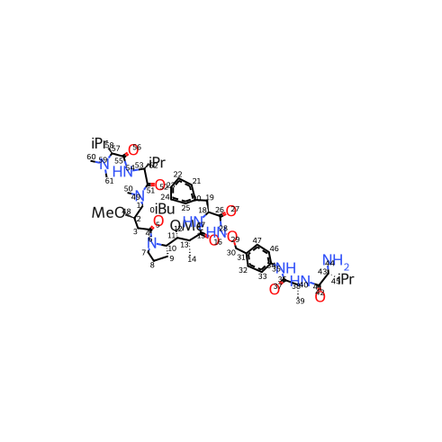 CC[C@H](C)[C@@H]([C@@H](CC(=O)N1CCC[C@H]1[C@H](OC)[C@@H](C)C(=O)N[C@@H](Cc1ccccc1)C(=O)NOCc1ccc(NC(=O)[C@@H](C)NC(=O)[C@H](N)C(C)C)cc1)OC)N(C)C(=O)[C@@H](NC(=O)[C@H](C(C)C)N(C)C)C(C)C